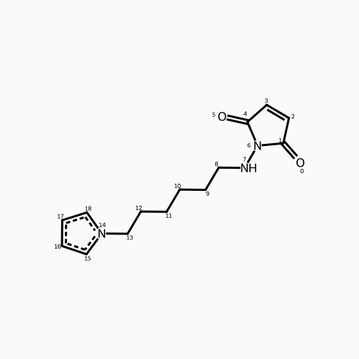 O=C1C=CC(=O)N1NCCCCCCn1cccc1